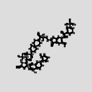 COc1cc2c(cc1NC(=O)c1cccc(C(F)(F)F)n1)CN(CCC(C)(C)C(=O)N1CCC3(CCC(C(=O)N[C@H](C(=O)N4C[C@H](O)C[C@H]4C(=O)N[C@@H](C)c4ccc(-c5scnc5C)cc4)C(C)(C)C)CC3)CC1)C2=O